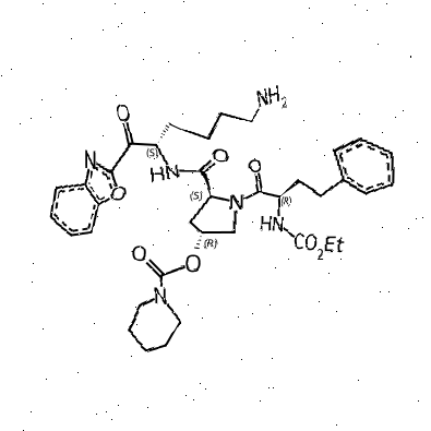 CCOC(=O)N[C@H](CCc1ccccc1)C(=O)N1C[C@H](OC(=O)N2CCCCC2)C[C@H]1C(=O)N[C@@H](CCCCN)C(=O)c1nc2ccccc2o1